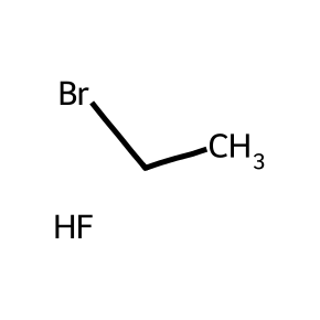 CCBr.F